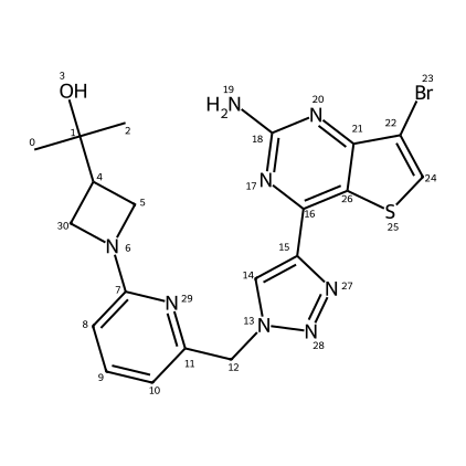 CC(C)(O)C1CN(c2cccc(Cn3cc(-c4nc(N)nc5c(Br)csc45)nn3)n2)C1